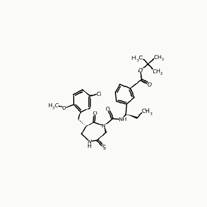 CC[C@@H](NC(=O)N1CC(=S)NC[C@H](Cc2cc(Cl)ccc2OC)C1=O)c1cccc(C(=O)OC(C)(C)C)c1